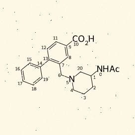 CC(=O)NC1CCCN(Cc2cc(C(=O)O)ccc2-c2ccccc2)C1